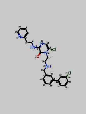 O=c1c(NCCc2ccccn2)ncc(Cl)n1CCNCc1cccc(-c2cccc(Cl)c2)c1